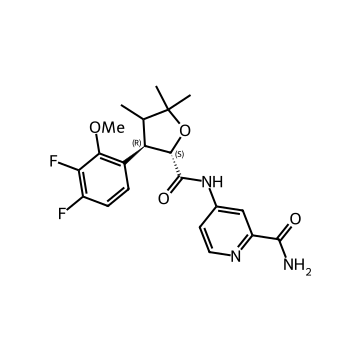 COc1c([C@H]2C(C)C(C)(C)O[C@@H]2C(=O)Nc2ccnc(C(N)=O)c2)ccc(F)c1F